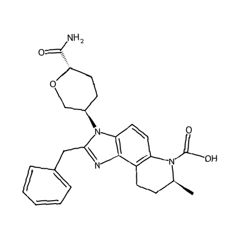 C[C@H]1CCc2c(ccc3c2nc(Cc2ccccc2)n3[C@@H]2CC[C@@H](C(N)=O)OC2)N1C(=O)O